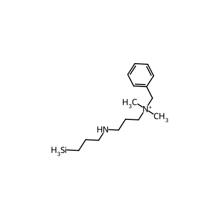 C[N+](C)(CCCNCCC[SiH3])Cc1ccccc1